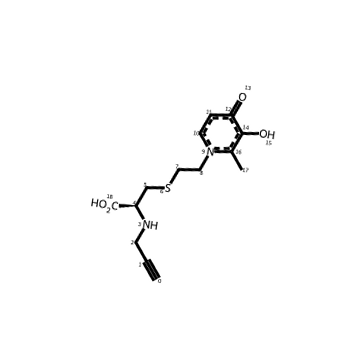 C#CCN[C@H](CSCCn1ccc(=O)c(O)c1C)C(=O)O